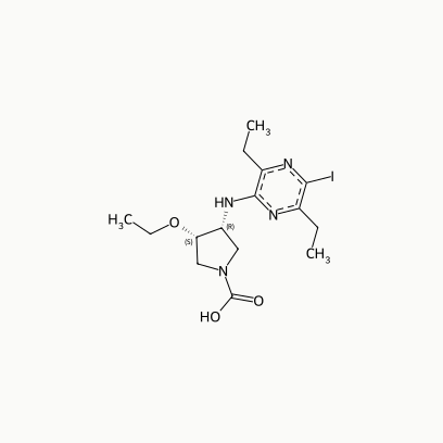 CCO[C@H]1CN(C(=O)O)C[C@H]1Nc1nc(CC)c(I)nc1CC